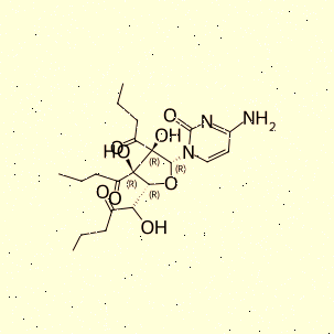 CCCC(=O)C(O)[C@H]1O[C@@H](n2ccc(N)nc2=O)[C@@](O)(C(=O)CCC)[C@@]1(O)C(=O)CCC